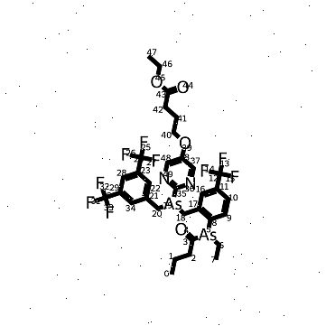 CCCC(=O)[As](CC)c1ccc(C(F)(F)F)cc1C[As](Cc1cc(C(F)(F)F)cc(C(F)(F)F)c1)c1ncc(OCCCC(=O)OCC)cn1